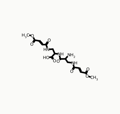 COC(=O)/C=C/C(=O)NCC(N)C(=O)NC(CNC(=O)/C=C/C(=O)OC)C(=O)O